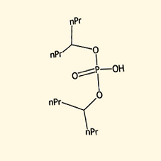 CCCC(CCC)OP(=O)(O)OC(CCC)CCC